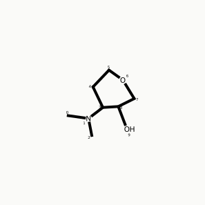 CN(C)C1CCOCC1O